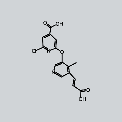 Cc1c(/C=C/C(=O)O)cncc1Oc1cc(C(=O)O)cc(Cl)n1